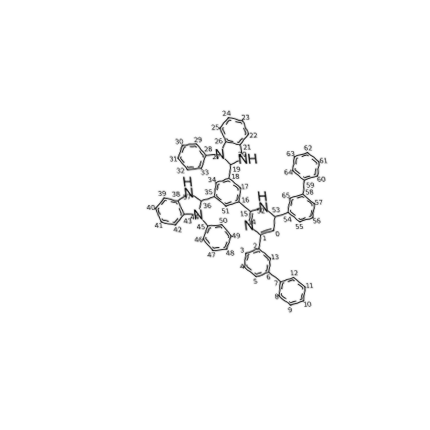 C1=C(c2cccc(-c3ccccc3)c2)N=C(c2cc(C3Nc4ccccc4N3c3ccccc3)cc(C3Nc4ccccc4N3c3ccccc3)c2)NC1c1cccc(-c2ccccc2)c1